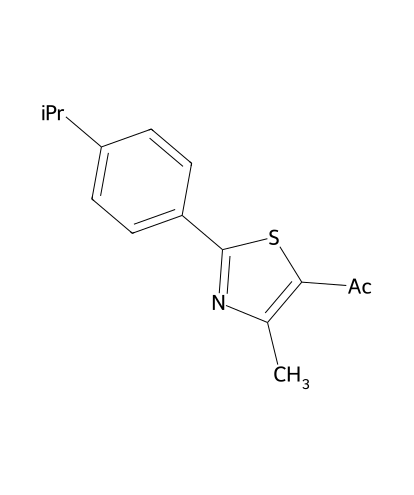 CC(=O)c1sc(-c2ccc(C(C)C)cc2)nc1C